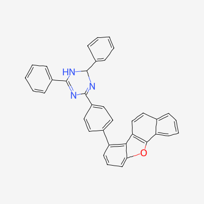 c1ccc(C2=NC(c3ccc(-c4cccc5oc6c7ccccc7ccc6c45)cc3)=NC(c3ccccc3)N2)cc1